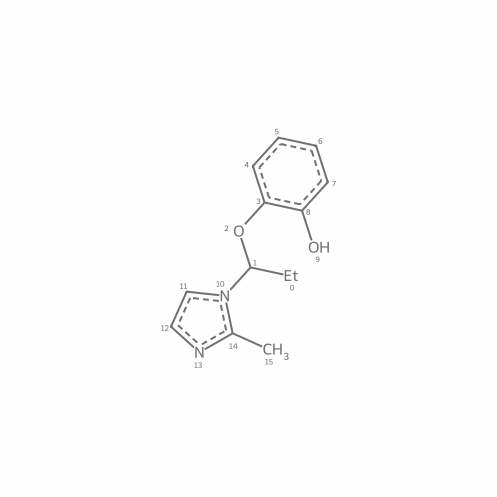 CCC(Oc1ccccc1O)n1ccnc1C